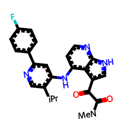 CNC(=O)C(=O)c1c[nH]c2nccc(Nc3cc(-c4ccc(F)cc4)ncc3C(C)C)c12